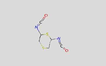 O=C=NC1CSCC(N=C=O)S1